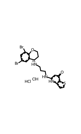 Cl.Cl.O=c1cc(NCCCN[C@H]2CCOc3c(Br)cc(Br)cc32)[nH]c2ccsc12